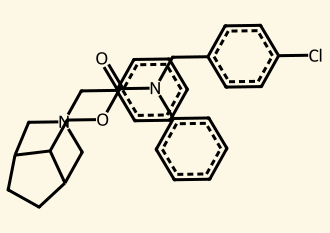 O=C(OCC1C2CCC1CN(Cc1ccccc1)C2)N(Cc1ccc(Cl)cc1)c1ccccc1